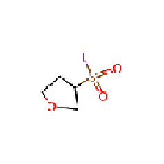 O=S(=O)(I)C1CCOC1